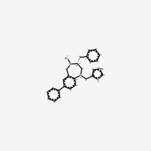 CC(=O)N1Cc2cc(-c3ccccc3)ccc2N(Cc2c[nH]cn2)C[C@H]1Cc1ccccc1